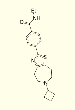 CCNC(=O)c1ccc(-c2nc3c(s2)CCN(C2CCC2)CC3)cc1